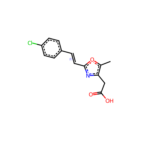 Cc1oc(/C=C/c2ccc(Cl)cc2)nc1CC(=O)O